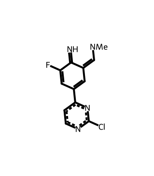 CN/C=C1/C=C(c2ccnc(Cl)n2)C=C(F)C1=N